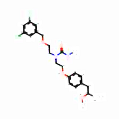 CCNC(=O)N(CCOCc1cc(Cl)cc(Cl)c1)CCOc1ccc(CC(OCC)C(=O)O)cc1